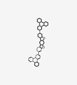 C1=CC2c3ccccc3C3=CC=C(C4=Cc5oc6cc7oc8cc(-c9ccc%10c%11ccccc%11c%11ccccc%11c%10c9)ccc8c7cc6c5CC4)CC3C2C=C1